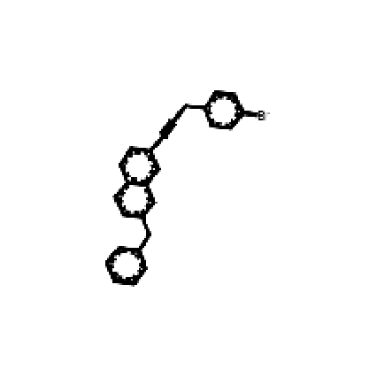 Brc1ccc(CC#Cc2ccc3ccc(Cc4ccccc4)cc3c2)cc1